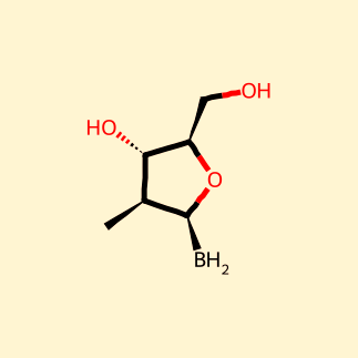 B[C@@H]1O[C@H](CO)[C@@H](O)[C@@H]1C